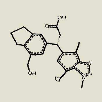 Cc1c([C@@H](CC(=O)O)c2cc(CO)c3c(c2)CCC3)cc(Cl)c2c1nnn2C